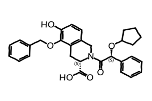 O=C(O)[C@@H]1Cc2c(ccc(O)c2OCc2ccccc2)CN1C(=O)[C@@H](OC1CCCC1)c1ccccc1